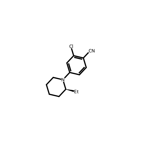 CC[C@H]1CCCCN1c1ccc(C#N)c(Cl)c1